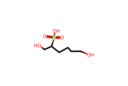 O=S(=O)(O)C(CO)CCCCO